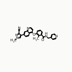 Cc1c(Oc2ccnc3cc(-c4cn(C)nc4C#N)ccc23)cccc1C(=O)NCc1ccncc1